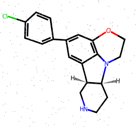 Clc1ccc(-c2cc3c4c(c2)[C@@H]2CNCC[C@@H]2N4CCO3)cc1